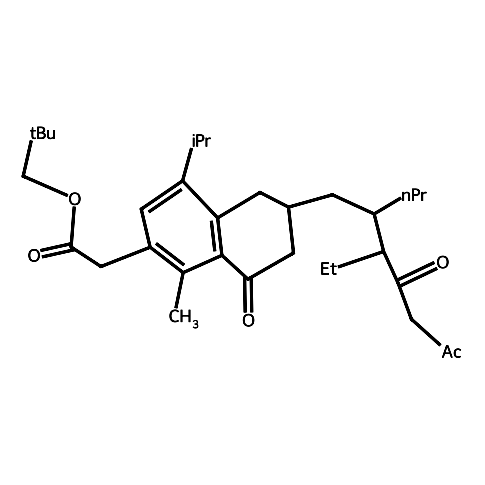 CCCC(CC1CC(=O)c2c(C)c(CC(=O)OCC(C)(C)C)cc(C(C)C)c2C1)C(CC)C(=O)CC(C)=O